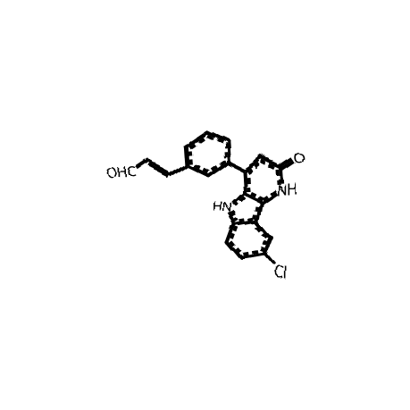 O=C/C=C/c1cccc(-c2cc(=O)[nH]c3c2[nH]c2ccc(Cl)cc23)c1